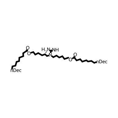 CCCCCCCCCCCCCCCCCC(=O)OCCCCCCN(CCCCCCOC(=O)CCCCCCCCCCCCCCCCC)C(=N)N